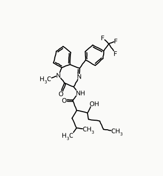 CCCCC(O)C(CC(C)C)C(=O)NC1N=C(c2ccc(C(F)(F)F)cc2)c2ccccc2N(C)C1=O